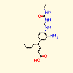 C\C=C/C=C(\C=C\C(=O)O)c1ccc(NCNC(=O)NCC)c(N)c1